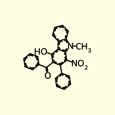 Cn1c2ccccc2c2c(O)c(C(=O)c3ccccc3)c(-c3ccccc3)c([N+](=O)[O-])c21